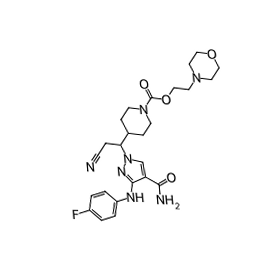 N#CCC(C1CCN(C(=O)OCCN2CCOCC2)CC1)n1cc(C(N)=O)c(Nc2ccc(F)cc2)n1